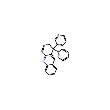 C1=Cc2nc3ccccc3cc2C(c2ccccc2)(c2ccccc2)C1